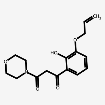 C=CCOc1cccc(C(=O)CC(=O)N2CCOCC2)c1O